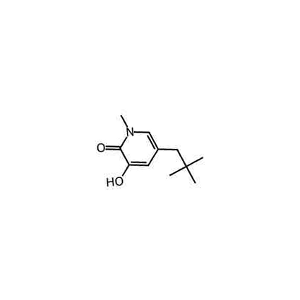 Cn1cc(CC(C)(C)C)cc(O)c1=O